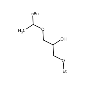 CCCCC(C)OCC(O)COCC